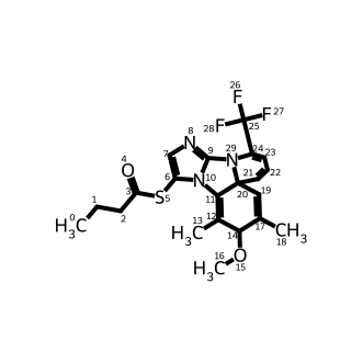 CCCC(=O)Sc1cnc2n1C1=C(C)C(OC)C(C)=CC13C=CC=C(C(F)(F)F)N23